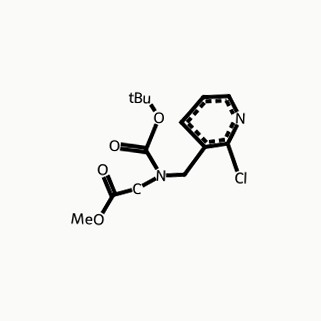 COC(=O)CN(Cc1cccnc1Cl)C(=O)OC(C)(C)C